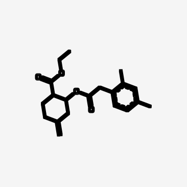 C=C1CCC(C(=O)OCC)C(OC(=O)Cc2ccc(C)cc2C)C1